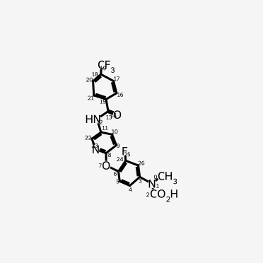 CN(C(=O)O)c1ccc(Oc2ccc(NC(=O)c3ccc(C(F)(F)F)cc3)cn2)c(F)c1